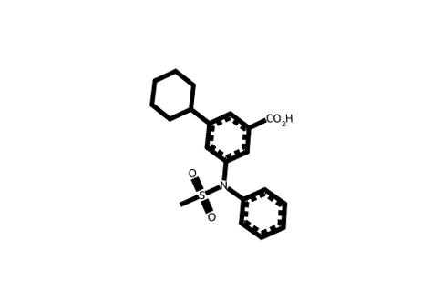 CS(=O)(=O)N(c1ccccc1)c1cc(C(=O)O)cc(C2CCCCC2)c1